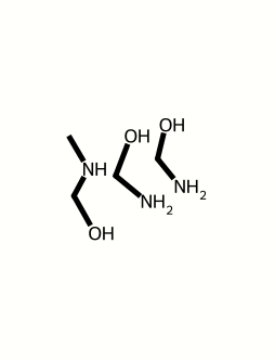 CNCO.NCO.NCO